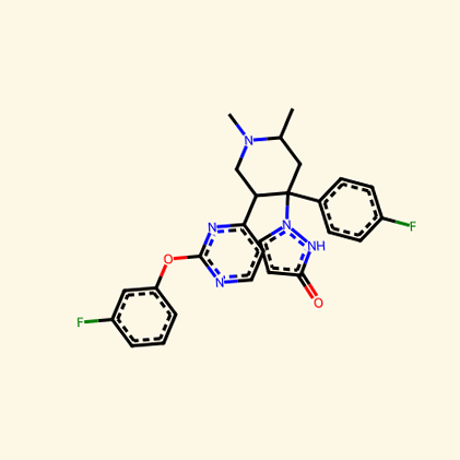 CC1CC(c2ccc(F)cc2)(n2ccc(=O)[nH]2)C(c2ccnc(Oc3cccc(F)c3)n2)CN1C